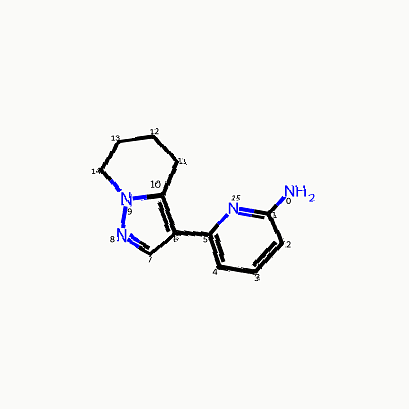 Nc1cccc(-c2cnn3c2CCCC3)n1